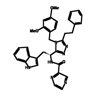 COc1ccc(Cn2c(CCc3ccccc3)nnc2[C@@H](Cc2c[nH]c3ccccc23)NC(=O)c2cnccn2)c(OC)c1